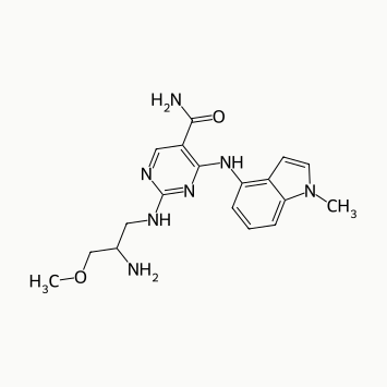 COCC(N)CNc1ncc(C(N)=O)c(Nc2cccc3c2ccn3C)n1